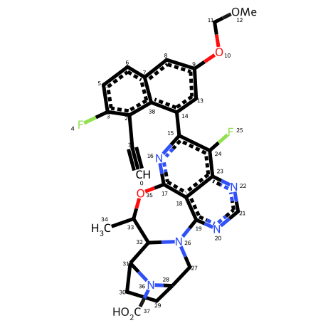 C#Cc1c(F)ccc2cc(OCOC)cc(-c3nc4c5c(ncnc5c3F)N3CC5CCC(C3C(C)O4)N5C(=O)O)c12